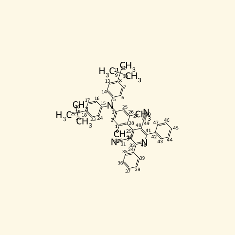 Cc1cc(N(c2ccc(C(C)(C)C)cc2)c2ccc(C(C)(C)C)cc2)cc(C)c1-c1c(C#N)c(-c2ccccc2)nc(-c2ccccc2)c1C#N